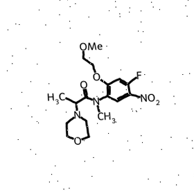 COCCOc1cc(F)c([N+](=O)[O-])cc1N(C)C(=O)C(C)N1CCOCC1